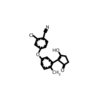 Cc1ccc(Oc2ccc(C#N)c(Cl)c2)cc1C1=C(O)CCC1=O